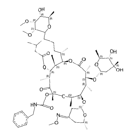 CON=C1C[C@H](O[C@@H]2[C@@H](C)[C@H](O[C@H]3C[C@@](C)(O)[C@@H](O)[C@H](C)O3)[C@@H](C)C(=O)O[C@H]([C@@H](C)CCCC3O[C@H](C)[C@@H](O)[C@@H](OC)[C@H]3OC)[C@H](C)[C@@H](OC(=O)CC(C)C)[C@@H](C)C(=O)[C@@](C)(OC(=O)NCc3ccccc3)C[C@@H]2C)O[C@H](C)C1